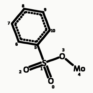 O=S(=O)([O][Mo])c1ccccc1